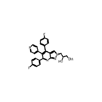 OCC(O)Cn1cc2c(-c3ccc(F)cc3)c(-c3ccncc3)c(-c3ccc(F)cc3)nc2n1